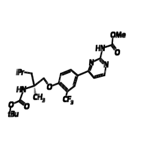 COC(=O)Nc1nccc(-c2ccc(OC[C@](C)(CC(C)C)NC(=O)OC(C)(C)C)c(C(F)(F)F)c2)n1